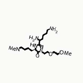 CNCCCC[C@@H](NC(=O)C(N)CCCCN)C(=O)NCCOCCOC